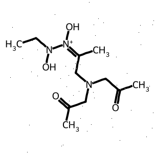 CCN(O)[N+](O)=C(C)CN(CC(C)=O)CC(C)=O